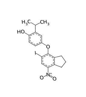 CC(C)c1cc(Oc2c(I)cc([N+](=O)[O-])c3c2CCC3)ccc1O